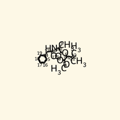 COC(=O)[C@@H](OC(=O)[C@H](C)NC(=O)Cc1ccccc1)C(C)C